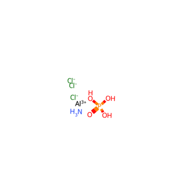 N.O=P(O)(O)O.[Al+3].[Cl-].[Cl-].[Cl-]